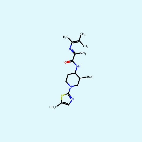 CO[C@H]1CN(c2ncc(C(=O)O)s2)CCC1NC(=O)/C(C)=N/C(C)=C(C)C